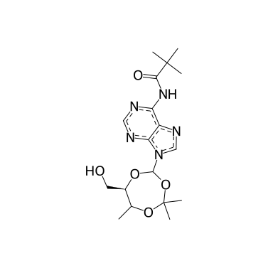 CC1OC(C)(C)OC(n2cnc3c(NC(=O)C(C)(C)C)ncnc32)O[C@@H]1CO